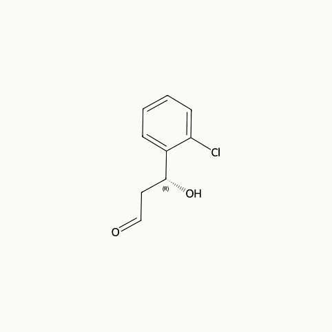 O=CC[C@@H](O)c1ccccc1Cl